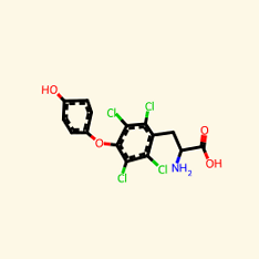 NC(Cc1c(Cl)c(Cl)c(Oc2ccc(O)cc2)c(Cl)c1Cl)C(=O)O